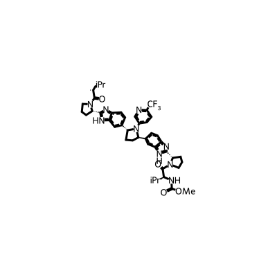 COC(=O)N[C@H](C(=O)N1CCC[C@H]1c1nc2ccc([C@H]3CC[C@H](c4ccc5nc([C@@H]6CCCN6C(=O)[CH]C(C)C)[nH]c5c4)N3c3ccc(C(F)(F)F)nc3)cc2[nH]1)C(C)C